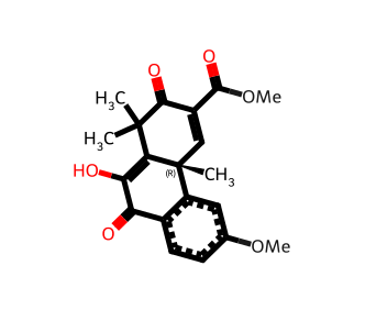 COC(=O)C1=C[C@@]2(C)C(=C(O)C(=O)c3ccc(OC)cc32)C(C)(C)C1=O